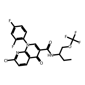 CCC(COC(F)(F)F)NC(=O)c1cn(-c2ccc(F)cc2F)c2nc(Cl)ccc2c1=O